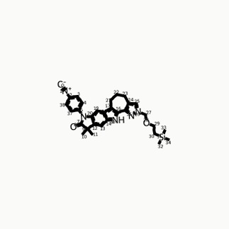 [C-]#[N+]c1ccc(N2C(=O)C(C)(C)c3cc4[nH]c5c(c4cc32)CCCc2cn(COCC[Si](C)(C)C)nc2-5)cc1